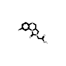 NC(=O)CN1CC2CSc3ccc(F)cc3N2C1=O